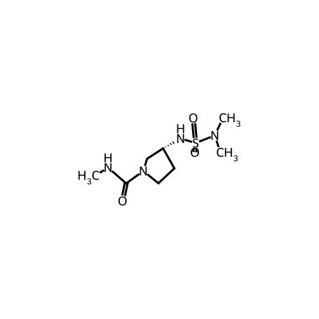 CNC(=O)N1CC[C@@H](NS(=O)(=O)N(C)C)C1